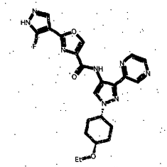 CCO[C@H]1CC[C@H](n2cc(NC(=O)c3coc(-c4cn[nH]c4F)n3)c(-c3cnccn3)n2)CC1